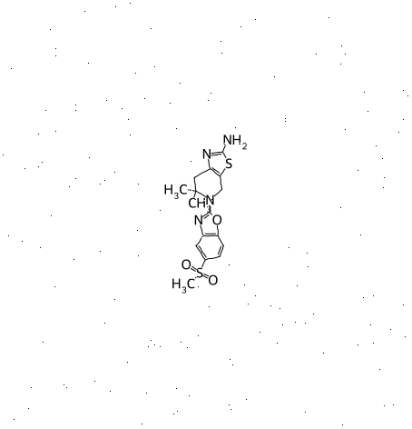 CC1(C)Cc2nc(N)sc2CN1c1nc2cc(S(C)(=O)=O)ccc2o1